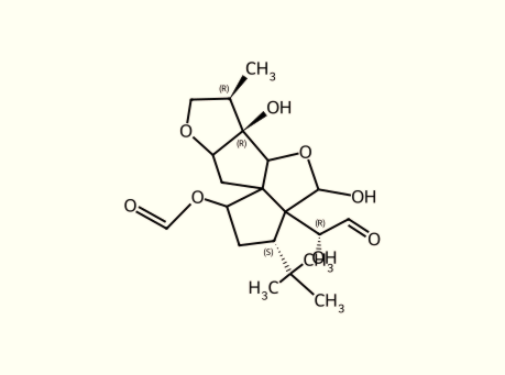 C[C@@H]1COC2CC34C(OC=O)C[C@@H](C(C)(C)C)C3([C@@H](O)C=O)C(O)OC4[C@]21O